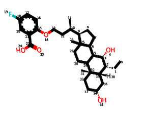 CC[C@H]1[C@@H](O)C2C3CC[C@H]([C@H](C)CCOc4ccc(F)cc4C(=O)O)C3(C)CCC2[C@@]2(C)CC[C@@H](O)C[C@@H]12